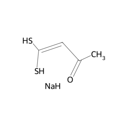 CC(=O)C=C(S)S.[NaH]